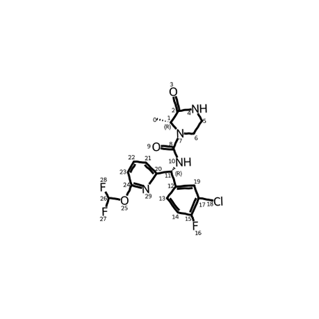 C[C@@H]1C(=O)NCCN1C(=O)N[C@H](c1ccc(F)c(Cl)c1)c1cccc(OC(F)F)n1